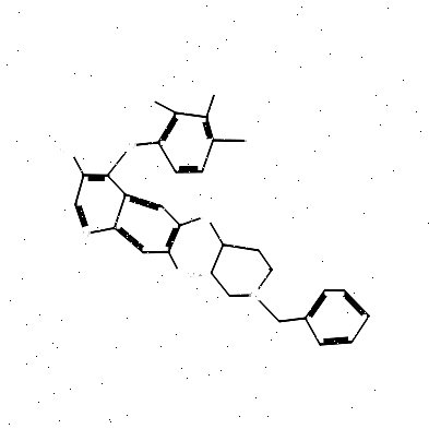 COc1cc2ncc(C#N)c(Nc3ccc(Cl)c(Cl)c3F)c2cc1OC1CCN(Cc2ccccc2)CC1